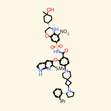 CSc1nc2[nH]ccc2cc1Oc1cc(N2CCC3(CC2)CC(N2CCC[C@@H]2c2ccccc2C(C)C)C3)ccc1C(=O)NS(=O)(=O)c1cc2c(c([N+](=O)[O-])c1)N[C@@H](C1CCC(C)(O)CC1)CO2